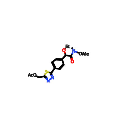 CCOC(C(=O)N(C)OC)c1ccc(-c2nnc(COC(C)=O)s2)cc1